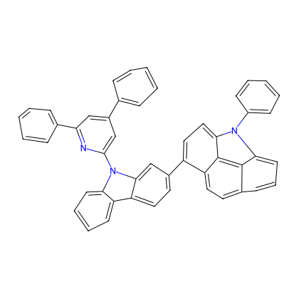 c1ccc(-c2cc(-c3ccccc3)nc(-n3c4ccccc4c4ccc(-c5ccc6c7c5ccc5cccc(c57)n6-c5ccccc5)cc43)c2)cc1